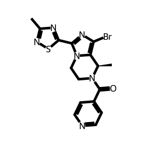 Cc1nsc(-c2nc(Br)c3n2CCN(C(=O)c2ccncc2)[C@@H]3C)n1